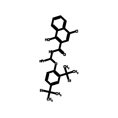 CCCC(NC(=O)c1cc(Cl)c2ccccc2c1O)Oc1ccc(C(C)(C)CC)cc1C(C)(C)CC